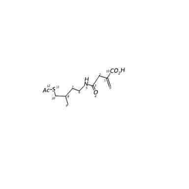 C=C(CC(=O)NCCC(C)CSC(C)=O)C(=O)O